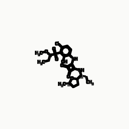 CC[C@@H](Nc1c(Nc2ccc(Cl)c(S(=O)(=O)N(CC)OC)c2O)c(=O)c1=O)C1CC[C@@H](C)O1